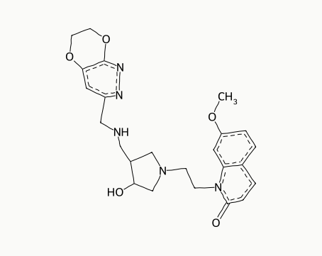 COc1ccc2ccc(=O)n(CCN3CC(O)C(CNCc4cc5c(nn4)OCCO5)C3)c2c1